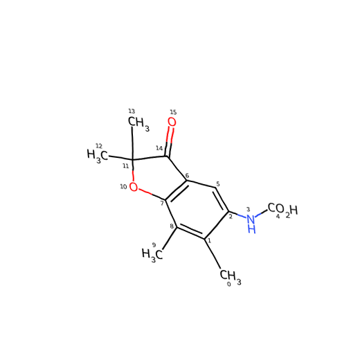 Cc1c(NC(=O)O)cc2c(c1C)OC(C)(C)C2=O